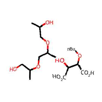 CC(O)COC(C)COC(C)CO.CCCCOC(C(=O)O)C(O)C(=O)O